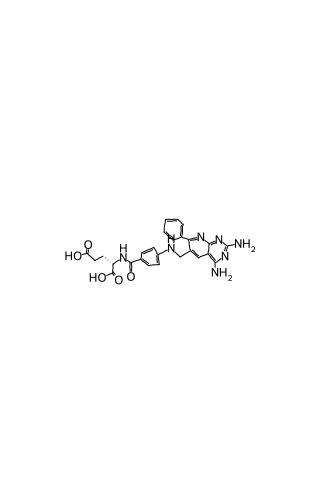 Nc1nc(N)c2cc(CNc3ccc(C(=O)N[C@@H](CCC(=O)O)C(=O)O)cc3)c(-c3ccccc3)nc2n1